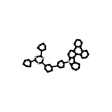 c1ccc(-c2nc(-c3ccccc3)nc(-c3cccc(-c4ccc(-n5c6ccccc6c6c7c8ccccc8c8ccccc8c7ccc65)cc4)c3)n2)cc1